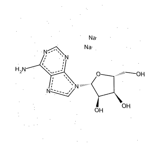 Nc1ncnc2c1ncn2[C@@H]1O[C@H](CO)[C@@H](O)[C@H]1O.[Na].[Na]